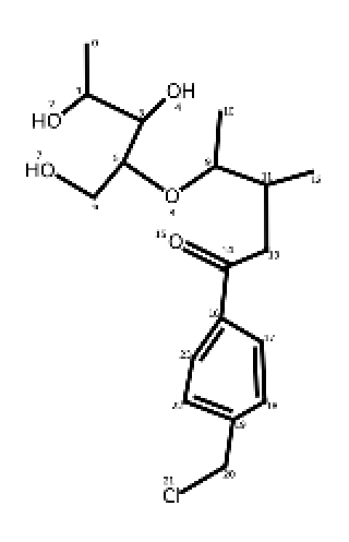 CC(O)C(O)C(CO)OC(C)C(C)CC(=O)c1ccc(CCl)cc1